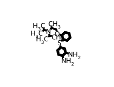 CC(C)N(C(C)C)C(C)COc1ccccc1Sc1ccc(N)c(N)c1